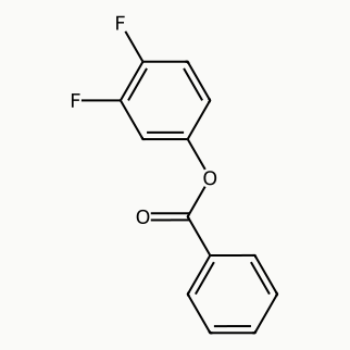 O=C(Oc1ccc(F)c(F)c1)c1ccccc1